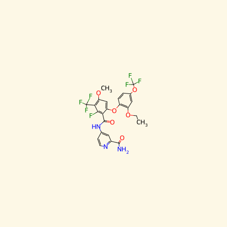 CCOc1cc(OC(F)(F)F)ccc1Oc1cc(OC)c(C(F)(F)F)c(F)c1C(=O)Nc1ccnc(C(N)=O)c1